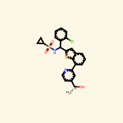 C[C@@H](O)c1ccnc(-c2cccc3cc(C(NS(=O)(=O)C4CC4)c4ccccc4Cl)sc23)c1